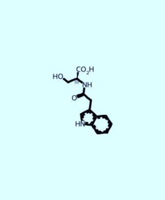 O=C(Cc1c[nH]c2ccccc12)N[C@@H](CO)C(=O)O